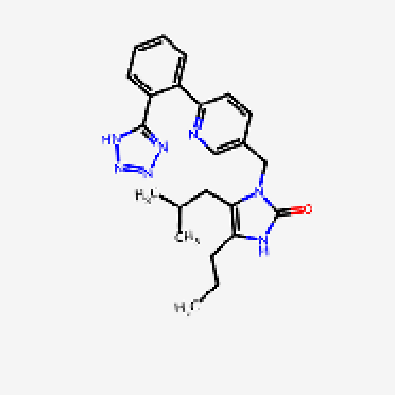 CCCc1[nH]c(=O)n(Cc2ccc(-c3ccccc3-c3nnn[nH]3)nc2)c1CC(C)C